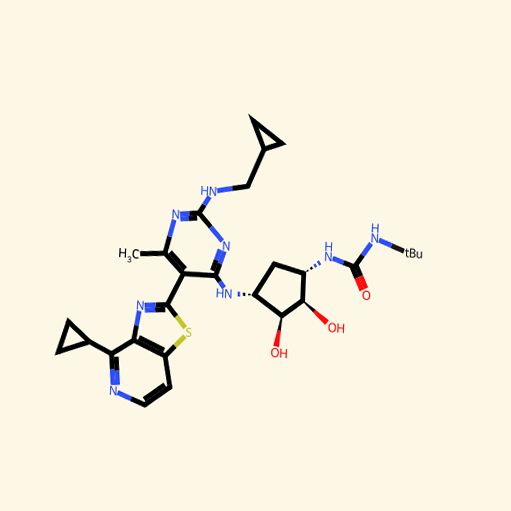 Cc1nc(NCC2CC2)nc(N[C@@H]2C[C@H](NC(=O)NC(C)(C)C)[C@@H](O)[C@H]2O)c1-c1nc2c(C3CC3)nccc2s1